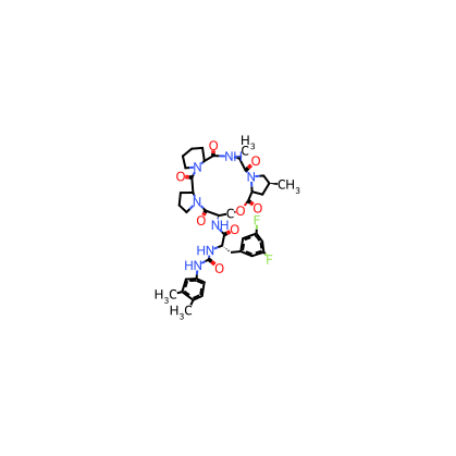 Cc1ccc(NC(=O)N[C@@H](Cc2cc(F)cc(F)c2)C(=O)N[C@H]2COC(=O)C3C[C@H](C)CN3C(=O)[C@H](C)NC(=O)C3CCCCN3C(=O)C3CCCN3C2=O)cc1C